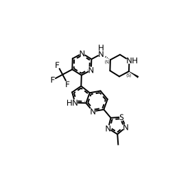 Cc1nsc(-c2ccc3c(-c4nc(N[C@H]5CC[C@H](C)NC5)ncc4C(F)(F)F)c[nH]c3n2)n1